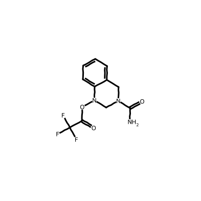 NC(=O)N1Cc2ccccc2N(OC(=O)C(F)(F)F)C1